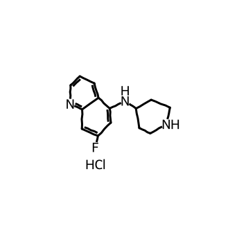 Cl.Fc1cc(NC2CCNCC2)c2cccnc2c1